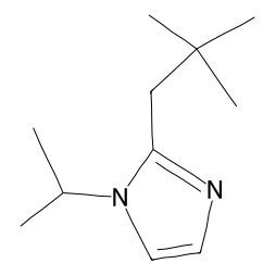 CC(C)n1ccnc1CC(C)(C)C